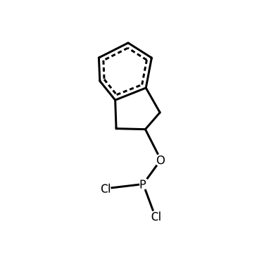 ClP(Cl)OC1Cc2ccccc2C1